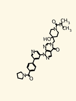 CN(C)C(=O)N1CCC(O)(Cn2cnc3c(cnn3-c3cncc(-c4ccc(C(=O)N5CCCC5)cc4)c3)c2=O)CC1